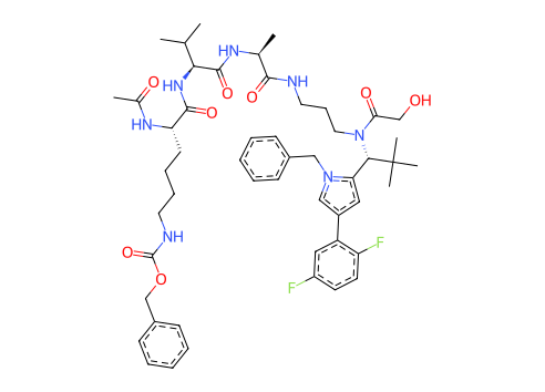 CC(=O)N[C@@H](CCCCNC(=O)OCc1ccccc1)C(=O)N[C@H](C(=O)N[C@@H](C)C(=O)NCCCN(C(=O)CO)[C@@H](c1cc(-c2cc(F)ccc2F)cn1Cc1ccccc1)C(C)(C)C)C(C)C